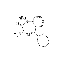 CCCCN1C(=O)C(N)N=C(C2CCCCCC2)c2ccccc21